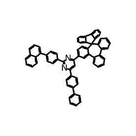 c1ccc(-c2ccc(-c3cc(-c4ccc5c(c4)-c4ccccc4-c4ccccc4C54c5ccccc5-c5ccccc54)nc(-c4ccc(-c5cccc6ccccc56)cc4)n3)cc2)cc1